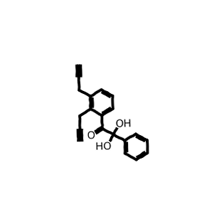 C#CCc1cccc(C(=O)C(O)(O)c2ccccc2)c1CC#C